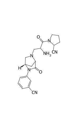 N#Cc1cccc(N2C(=O)C3C[C@H]2CN3CC(N)C(=O)N2CCCC2C#N)c1